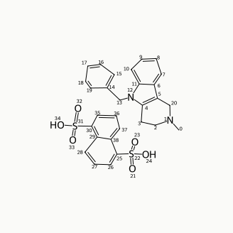 CN1CCc2c(c3ccccc3n2Cc2ccccc2)C1.O=S(=O)(O)c1cccc2c(S(=O)(=O)O)cccc12